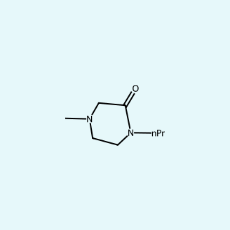 CCCN1CCN(C)CC1=O